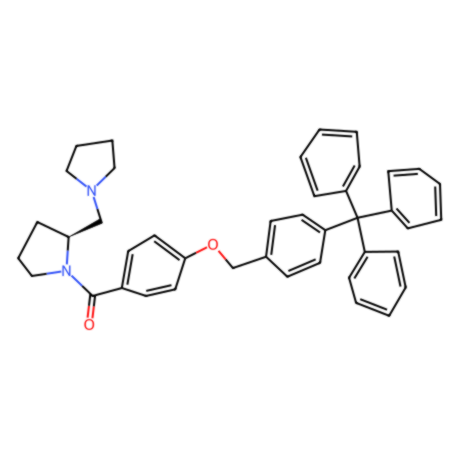 O=C(c1ccc(OCc2ccc(C(c3ccccc3)(c3ccccc3)c3ccccc3)cc2)cc1)N1CCC[C@H]1CN1CCCC1